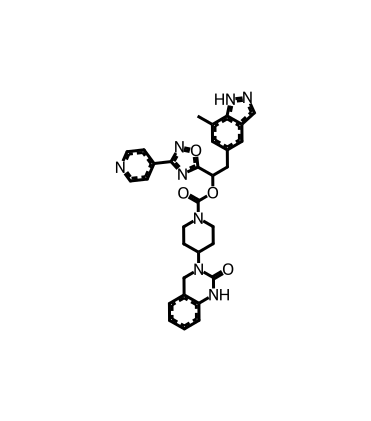 Cc1cc(CC(OC(=O)N2CCC(N3Cc4ccccc4NC3=O)CC2)c2nc(-c3ccncc3)no2)cc2cn[nH]c12